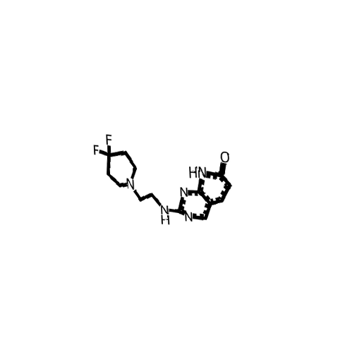 O=c1ccc2cnc(NCCN3CCC(F)(F)CC3)nc2[nH]1